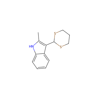 Cc1[nH]c2ccccc2c1C1SCCCS1